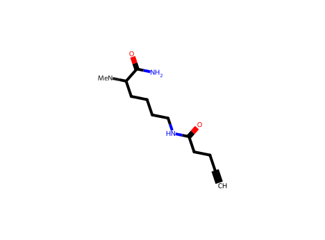 C#CCCC(=O)NCCCCC(NC)C(N)=O